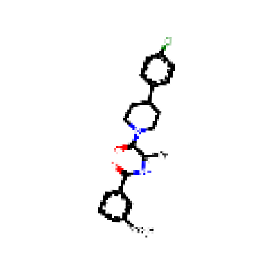 CC(C)[C@@H](NC(=O)c1cccc(C(=O)O)c1)C(=O)N1CCC(c2ccc(Cl)cc2)CC1